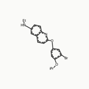 CCNc1ccc2nc(Oc3ccc(OC(C)C)c(Br)c3)ccc2c1